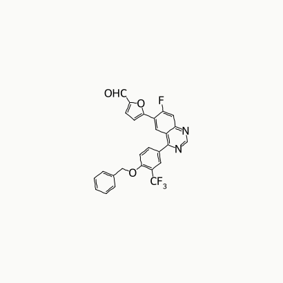 O=Cc1ccc(-c2cc3c(-c4ccc(OCc5ccccc5)c(C(F)(F)F)c4)ncnc3cc2F)o1